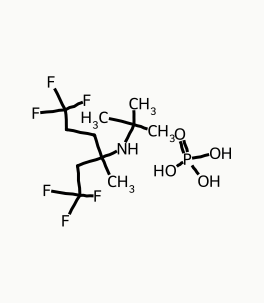 CC(C)(C)NC(C)(CCC(F)(F)F)CC(F)(F)F.O=P(O)(O)O